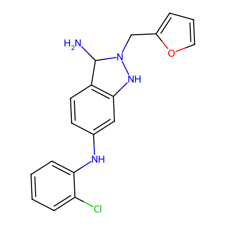 NC1c2ccc(Nc3ccccc3Cl)cc2NN1Cc1ccco1